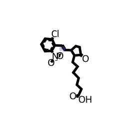 O=C(O)CCCCCCC1C(=O)CCC1/C=C/c1c(Cl)cccc1[N+](=O)[O-]